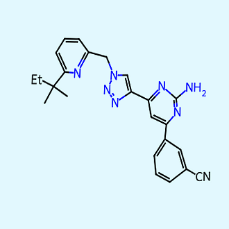 CCC(C)(C)c1cccc(Cn2cc(-c3cc(-c4cccc(C#N)c4)nc(N)n3)nn2)n1